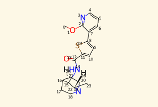 COc1ncccc1-c1ccc(C(=O)N[C@@H]2C3CCN(CC3)[C@H]2C)s1